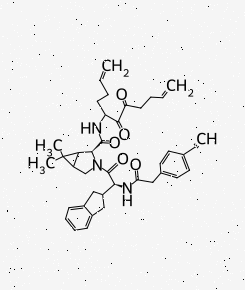 C#Cc1ccc(CC(=O)N[C@H](C(=O)N2CC3C([C@H]2C(=O)NC(CCC=C)C(=O)C(=O)CCC=C)C3(C)C)C2Cc3ccccc3C2)cc1